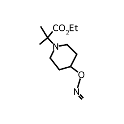 C=NOC1CCN(C(C)(C)C(=O)OCC)CC1